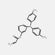 C=CC(=O)Oc1cccc(N(c2ccc(C)cc2)c2ccc(C)cc2)c1